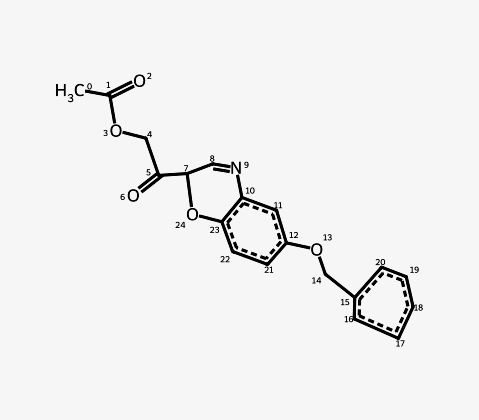 CC(=O)OCC(=O)C1C=Nc2cc(OCc3ccccc3)ccc2O1